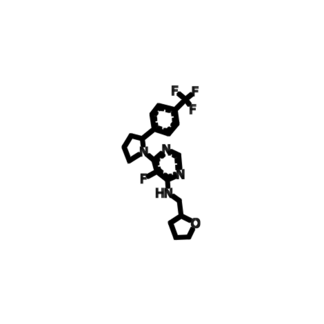 Fc1c(NCC2CCCO2)ncnc1N1CCCC1c1ccc(C(F)(F)F)cc1